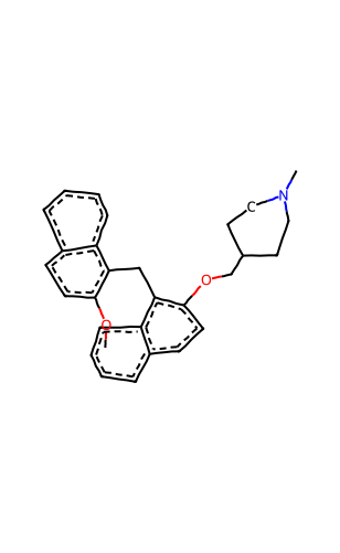 COc1ccc2ccccc2c1Cc1c(OCC2CCN(C)CC2)ccc2ccccc12